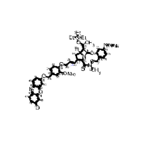 CC[Si](CC)(CC)O[C@H](C)[C@H]1C(=O)N2C(C(=O)N(C)OCc3ccc(N=[N+]=[N-])cc3)=C(/C=C/COc3ccc(COc4ccc5nc6ccc(=O)cc-6oc5c4)cc3OC)C[C@H]12